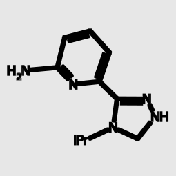 CC(C)N1CNN=C1c1cccc(N)n1